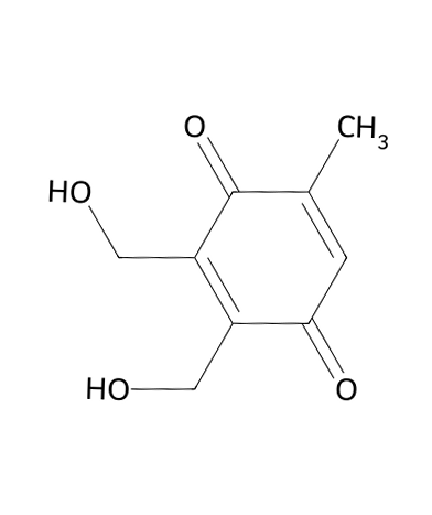 CC1=CC(=O)C(CO)=C(CO)C1=O